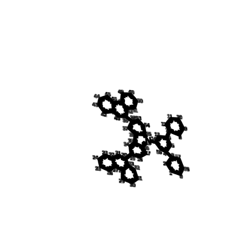 c1ccc(-c2cc(-c3ccccc3)cc(-n3c4ccc(-c5cc6ccccc6c6ccccc56)cc4c4cc(-c5cc6ccccc6c6ccccc56)ccc43)c2)cc1